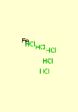 Cl.Cl.Cl.Cl.Cl.[Fe]